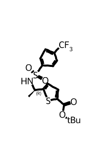 C[C@@H](NS(=O)(=O)c1ccc(C(F)(F)F)cc1)c1ccc(C(=O)OC(C)(C)C)s1